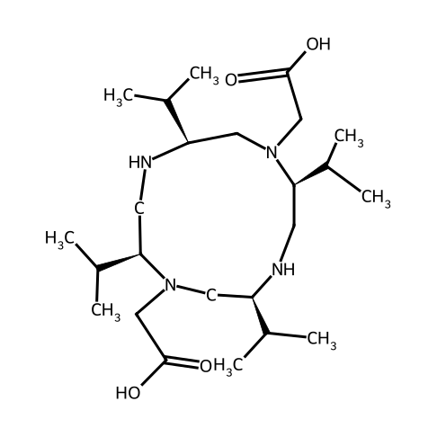 CC(C)[C@H]1CN[C@@H](C(C)C)CN(CC(=O)O)[C@@H](C(C)C)CN[C@@H](C(C)C)CN1CC(=O)O